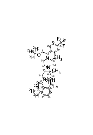 [2H]C([2H])([2H])OC[C@@H](c1ccc(C(F)(F)F)cc1)N1CCN(C2(C)CCN(C(=O)c3c(C([2H])([2H])[2H])ccnc3C([2H])([2H])[2H])CC2)C[C@@H]1C